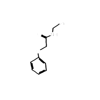 CC(C)CNC(=O)COc1ccccc1